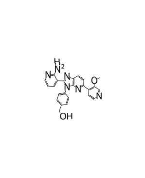 COc1cnccc1-c1ccc2nc(-c3cccnc3N)n(-c3ccc(CO)cc3)c2n1